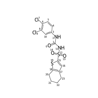 O=C(Nc1ccc(Cl)c(Cl)c1)NS(=O)(=O)c1cc2c(s1)CCCC2